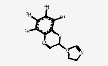 [2H]c1c([2H])c([2H])c2c(c1[2H])OCC(N1C=NCC1)O2